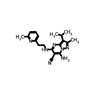 Cc1cccc(CCNc2nc3c(C(C)C)c(C)nn3c(N)c2C#N)n1